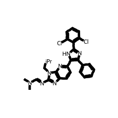 CC(C)Cn1c(N=CN(C)C)nc2ccc(-c3[nH]c(-c4c(Cl)cccc4Cl)nc3-c3ccccc3)nc21